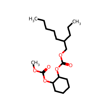 CCCCCC(CCC)COC(=O)OC1CCCCC1OC(=O)OC